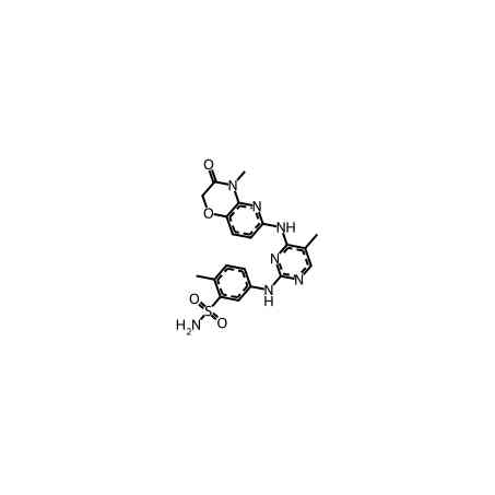 Cc1ccc(Nc2ncc(C)c(Nc3ccc4c(n3)N(C)C(=O)CO4)n2)cc1S(N)(=O)=O